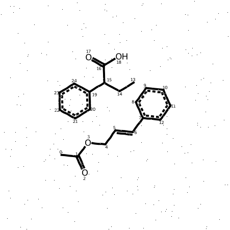 CC(=O)OCC=Cc1ccccc1.CCC(C(=O)O)c1ccccc1